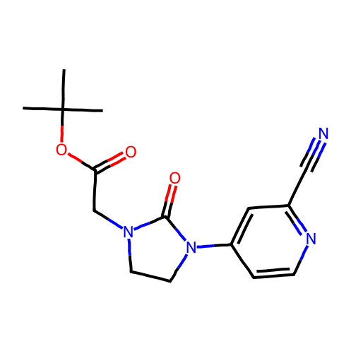 CC(C)(C)OC(=O)CN1CCN(c2ccnc(C#N)c2)C1=O